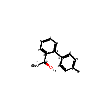 Cc1ccc(-c2ccccc2C(=O)OCC(C)C)cc1